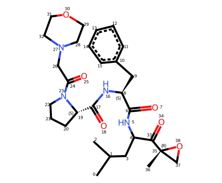 CC(C)CC(NC(=O)[C@H](Cc1ccccc1)NC(=O)[C@@H]1CCCN1C(=O)CN1CCOCC1)C(=O)[C@@]1(C)CO1